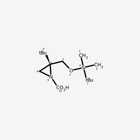 CC(C)(C)[C@]1(CO[Si](C)(C)C(C)(C)C)CN1C(=O)O